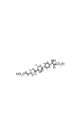 CCOC(=O)NC(=N)c1ccc(C(=O)C[C@@H](C)C(=O)N2CCC(OCC(=O)O)CC2)cc1